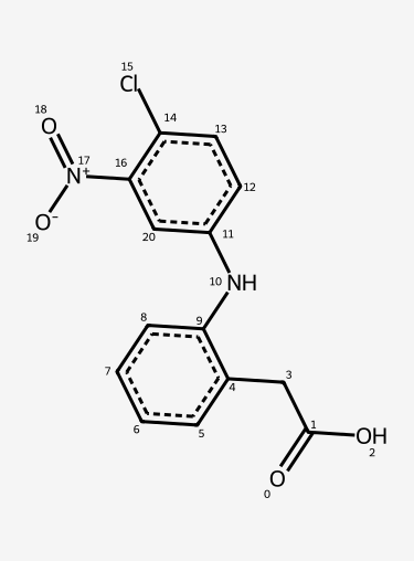 O=C(O)Cc1ccccc1Nc1ccc(Cl)c([N+](=O)[O-])c1